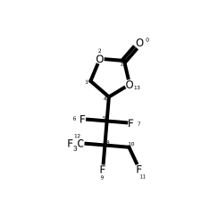 O=C1OCC(C(F)(F)C(F)(CF)C(F)(F)F)O1